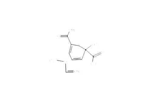 C=COC.CC1(C(=O)O)C=CC=C(C(=O)O)C1